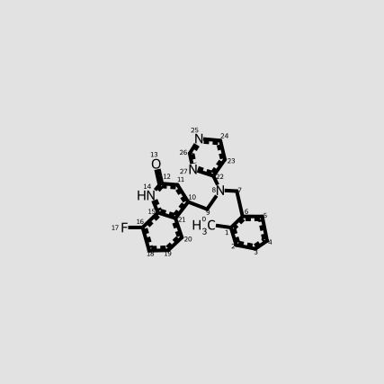 Cc1ccccc1CN(Cc1cc(=O)[nH]c2c(F)cccc12)c1ccncn1